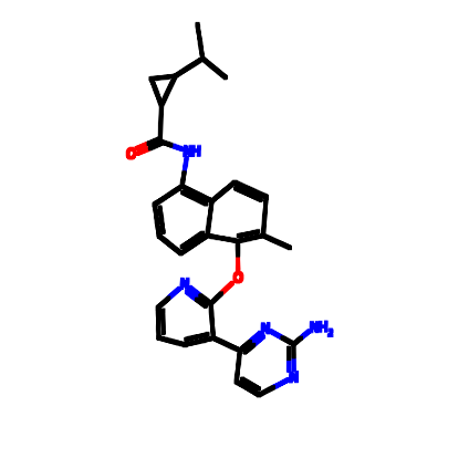 Cc1ccc2c(NC(=O)C3CC3C(C)C)cccc2c1Oc1ncccc1-c1ccnc(N)n1